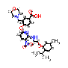 CC1CCC(C(C)C)C(OCCNc2nc(Oc3ccc(C(=O)O)cc3CN3CCOCC3)ccc2[N+](=O)[O-])C1